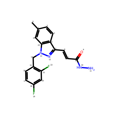 Cc1ccc2c(C=CC(=O)NN)nn(Cc3ccc(F)cc3F)c2c1